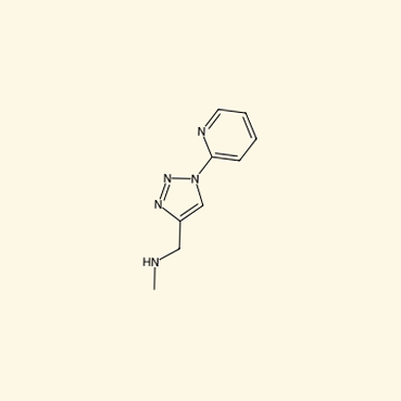 CNCc1cn(-c2ccccn2)nn1